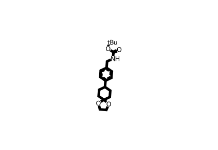 CC(C)(C)OC(=O)NCc1ccc(C2CCC3(CC2)OCCO3)cc1